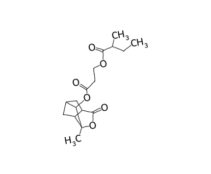 CCC(C)C(=O)OCCC(=O)OC1C2CC3C(=O)OC1(C)C3C2